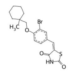 CC1(COc2ccc(/C=C3/SC(=O)NC3=O)cc2Br)CCCCC1